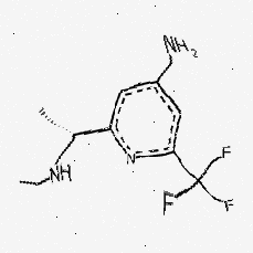 CN[C@H](C)c1cc(N)cc(C(F)(F)F)n1